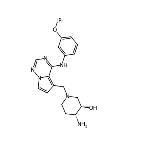 CC(C)Oc1cccc(Nc2ncnn3ccc(CN4CC[C@@H](N)[C@H](O)C4)c23)c1